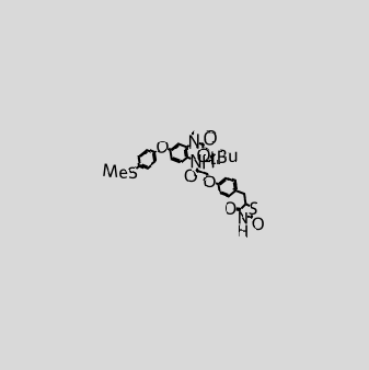 CSc1ccc(Oc2ccc(NC(=O)COc3ccc(CC4SC(=O)NC4=O)cc3)c(N(C)C(=O)OC(C)(C)C)c2)cc1